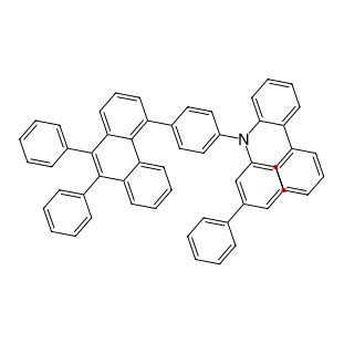 c1ccc(-c2cccc(N(c3ccc(-c4cccc5c(-c6ccccc6)c(-c6ccccc6)c6ccccc6c45)cc3)c3ccccc3-c3ccccc3)c2)cc1